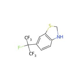 FC(F)(F)C(F)(c1ccc2c(c1)SCN2)C(F)(F)F